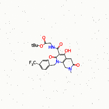 CN1Cc2c(c(O)c(C(=O)NCC(=O)OC(C)(C)C)c(=O)n2Cc2ccc(C(F)(F)F)cc2)CC1=O